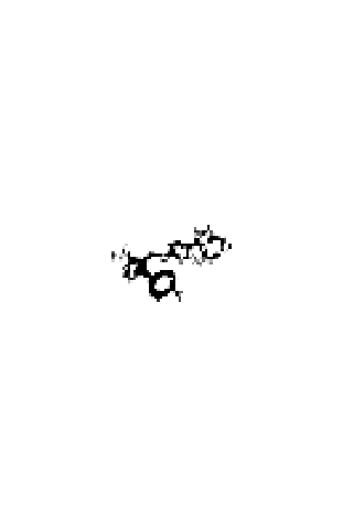 COc1nc(OCc2c(-c3ccc(F)cc3)noc2C)ccc1-c1nnc2n1CCOC2